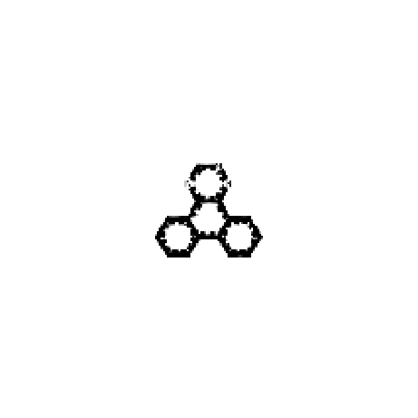 c1ccc2c(c1)c1ccccc1c1nncnc21